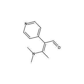 CC(=C(C=O)c1ccncc1)N(C)C